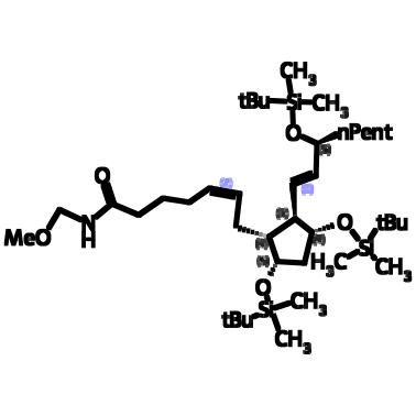 CCCCC[C@@H](/C=C/[C@@H]1[C@@H](C/C=C\CCCC(=O)NCOC)[C@@H](O[Si](C)(C)C(C)(C)C)C[C@H]1O[Si](C)(C)C(C)(C)C)O[Si](C)(C)C(C)(C)C